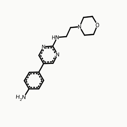 Nc1ccc(-c2cnc(NCCN3CCOCC3)nc2)cc1